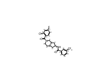 O=C(NC1CC2CN(C(=O)c3ccc(F)cc3Cl)CCN2C1)c1cccc(C(F)(F)F)c1